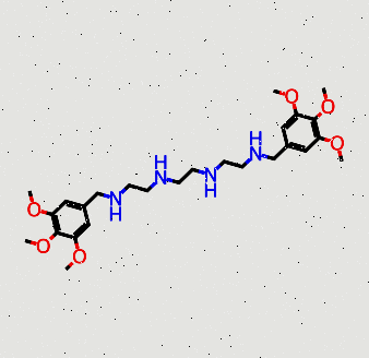 COc1cc(CNCCNCCNCCNCc2cc(OC)c(OC)c(OC)c2)cc(OC)c1OC